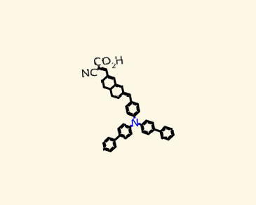 N#C/C(=C\C1=CC2=C/C(=C/c3ccc(N(c4ccc(-c5ccccc5)cc4)c4ccc(-c5ccccc5)cc4)cc3)CCC2CC1)C(=O)O